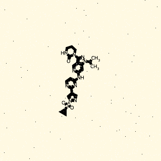 CC(C)n1nc(N2CCCNC2=O)c2cnc(Nc3ccnc(-c4cnn(S(=O)(=O)C5CC5)c4)n3)cc21